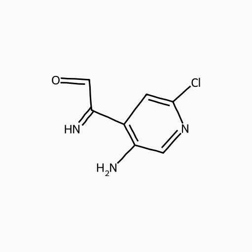 N=C(C=O)c1cc(Cl)ncc1N